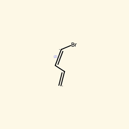 [CH]=C/C=[C]\Br